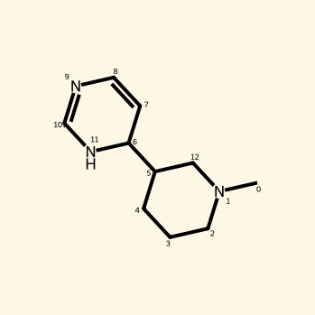 CN1CCCC(C2C=CN=[C]N2)C1